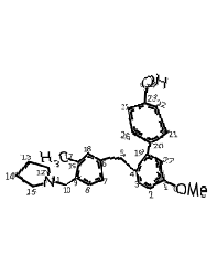 COc1ccc(Cc2ccc(CN3CCCC3)c(C)c2)c(-c2ccc(O)cc2)c1